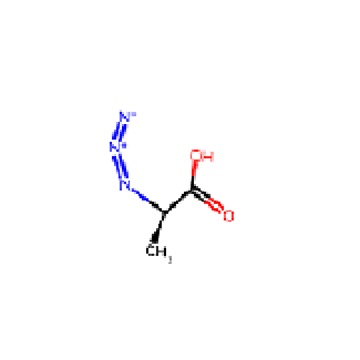 C[C@@H](N=[N+]=[N-])C(=O)O